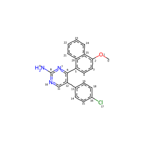 COc1ccc(-c2nc(N)ncc2-c2ccc(Cl)cc2)c2ccccc12